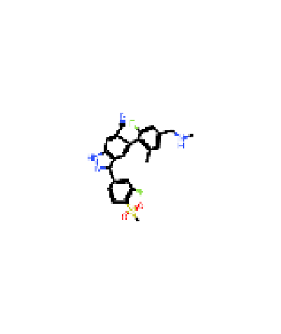 CNCc1cc(C)c(-c2cc3c(-c4ccc(S(C)(=O)=O)c(F)c4)n[nH]c3cc2C#N)c(F)c1